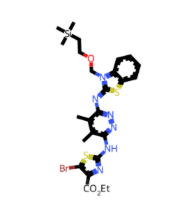 CCOC(=O)c1nc(Nc2nnc(/N=c3\sc4ccccc4n3COCC[Si](C)(C)C)c(C)c2C)sc1Br